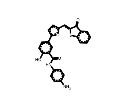 Nc1ccc(NC(=O)c2cc(-c3ccc(C=C4Sc5ccccc5C4=O)o3)ccc2O)cc1